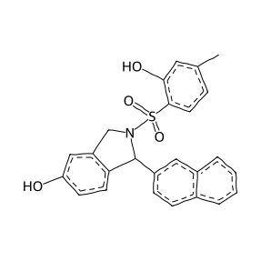 Cc1ccc(S(=O)(=O)N2Cc3cc(O)ccc3C2c2ccc3ccccc3c2)c(O)c1